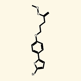 C=C(CCCOc1ccc(-c2ccc(Br)s2)cc1)OOC